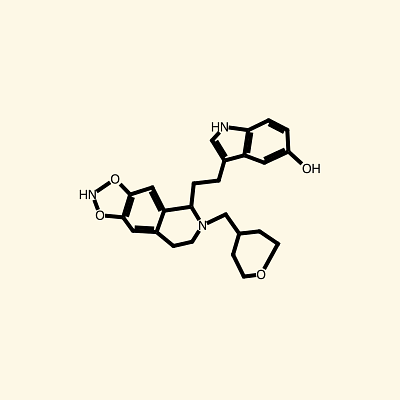 Oc1ccc2[nH]cc(CCC3c4cc5c(cc4CCN3CC3CCOCC3)ONO5)c2c1